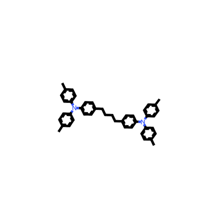 Cc1ccc(N(c2ccc(C)cc2)c2ccc(CCCCc3ccc(N(c4ccc(C)cc4)c4ccc(C)cc4)cc3)cc2)cc1